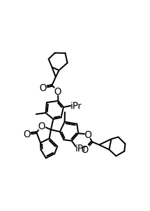 Cc1cc(OC(=O)C2C3CCCCC32)c(C(C)C)cc1C1(c2cc(C(C)C)c(OC(=O)C3C4CCCCC43)cc2C)OC(=O)c2ccccc21